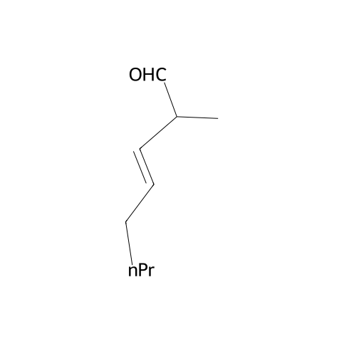 CCCCC=CC(C)C=O